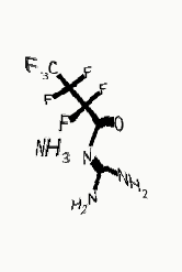 N.NC(N)=NC(=O)C(F)(F)C(F)(F)C(F)(F)F